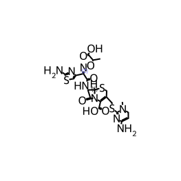 CC(O/N=C(\C(=O)NC1C(=O)N2C(C(=O)O)=C(CSC3=NC(N)=CCN3C)CS[C@@H]12)c1csc(N)n1)C(=O)O